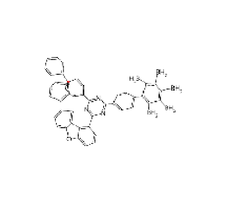 Bc1c(B)c(B)c(-c2ccc(-c3nc(-c4ccc(-c5ccccc5)cc4)nc(-c4cccc5oc6ccc(-c7ccccc7)cc6c45)n3)cc2)c(B)c1B